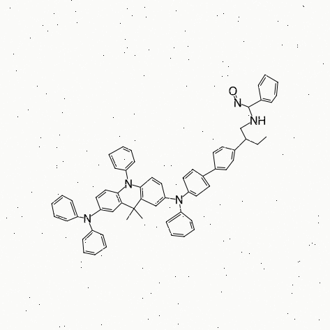 CCC(CNC(N=O)c1ccccc1)c1ccc(-c2ccc(N(c3ccccc3)c3ccc4c(c3)C(C)(C)c3cc(N(c5ccccc5)c5ccccc5)ccc3N4c3ccccc3)cc2)cc1